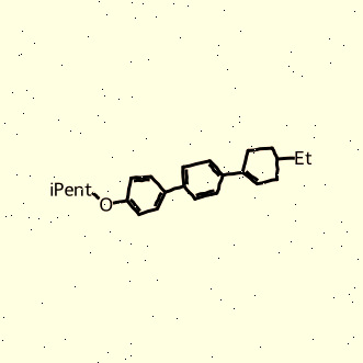 CCCC(C)Oc1ccc(-c2ccc(C3=CCC(CC)CC3)cc2)cc1